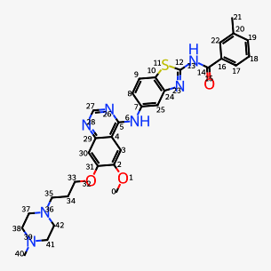 COc1cc2c(Nc3ccc4sc(NC(=O)c5cccc(C)c5)nc4c3)ncnc2cc1OCCCN1CCN(C)CC1